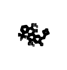 Cc1nnc(N[C@H](C)c2cccc(C(F)(F)F)c2)c2cn(CC3COC3)c(=O)cc12